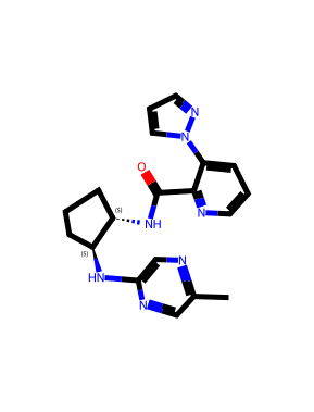 Cc1cnc(N[C@H]2CCC[C@@H]2NC(=O)c2ncccc2-n2cccn2)cn1